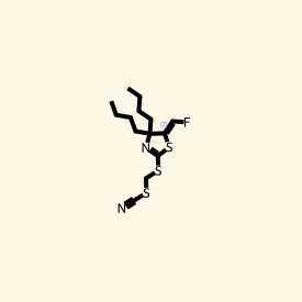 CCCCC1(CCCC)N=C(SCSC#N)S/C1=C\F